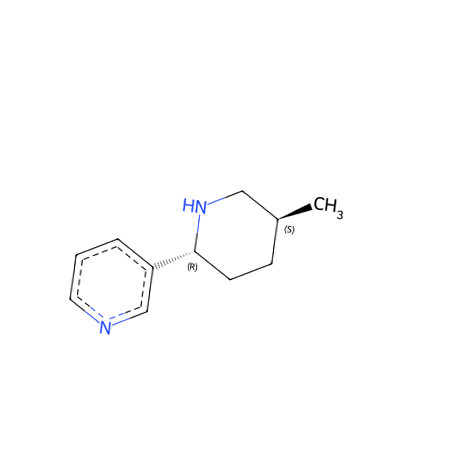 C[C@H]1CC[C@H](c2cccnc2)NC1